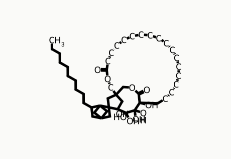 CCCCCCCCCCC1CC23CC1(C2)C1(C3)CC23COC(=O)CCCCCCCCCCCCCCCCCC(O)(C(=O)OC2)C(O)(O)C(O)(O)C1(O)C3